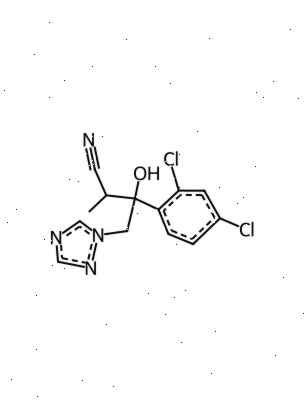 CC(C#N)C(O)(Cn1cncn1)c1ccc(Cl)cc1Cl